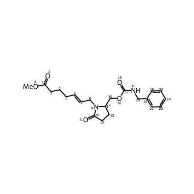 COC(=O)CCCC=CCN1C(=O)CCC1COC(=O)NCc1ccccc1